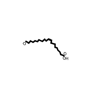 [O]CCCCCCCCCC/C=C\CCCCCCCC(=O)O